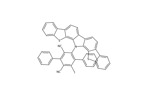 N#Cc1c(I)c(-c2ccccc2)c(-n2c3c(ccc4c5ccccc5sc43)c3ccc4c5ccccc5sc4c32)c(C#N)c1-c1ccccc1